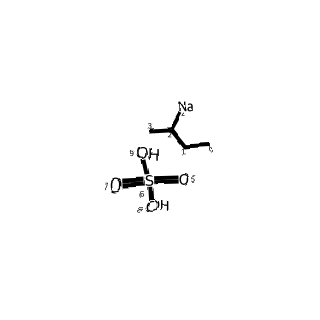 CC[CH](C)[Na].O=S(=O)(O)O